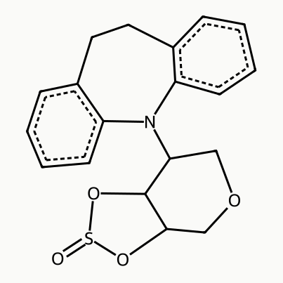 O=S1OC2COCC(N3c4ccccc4CCc4ccccc43)C2O1